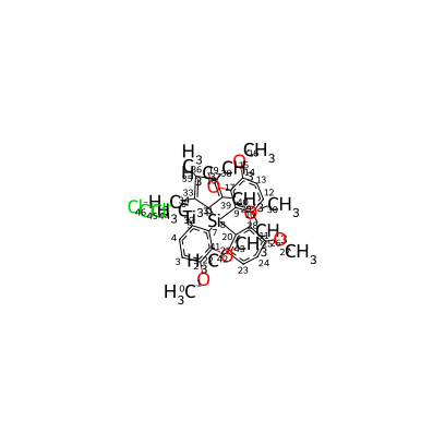 COc1ccc(C)c([Si](c2c(C)ccc(OC)c2OC)(c2c(C)ccc(OC)c2OC)[C]2([Ti+3])C(C)=C(C)C(C)=C2C)c1OC.[Cl-].[Cl-].[Cl-]